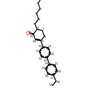 CCCCCCC1CCC(c2ccc(-c3ccc(CC)cc3)cc2)=CC1=O